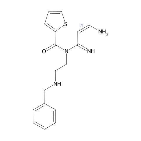 N=C(/C=C\N)N(CCNCc1ccccc1)C(=O)c1cccs1